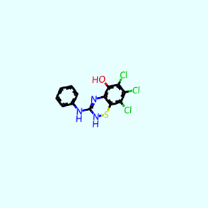 Oc1c(Cl)c(Cl)c(Cl)c2c1N=C(Nc1ccccc1)NS2